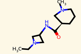 CCN1CC(NC(=O)[C@@H]2CCCN(C)C2)C1